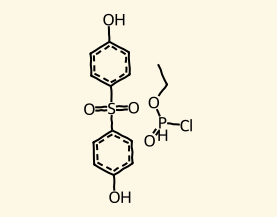 CCO[PH](=O)Cl.O=S(=O)(c1ccc(O)cc1)c1ccc(O)cc1